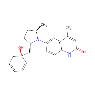 C[C@@H]1CC[C@H](C[C@]2(O)C=CC=CC2)N1c1ccc2[nH]c(=O)cc(C(F)(F)F)c2c1